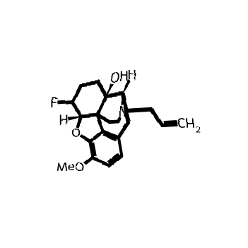 C=CCN1CCC23c4c5ccc(OC)c4O[C@@H]2C(F)CC[C@]3(O)[C@@H]1C5